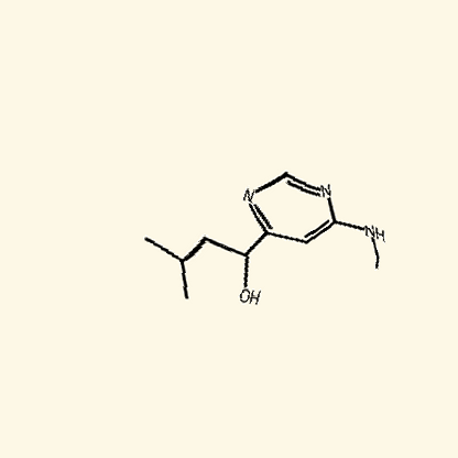 CNc1cc(C(O)CC(C)C)ncn1